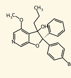 CCCC1(O)c2c(OC)cncc2O[C@]1(c1ccccc1)c1ccc(Br)cc1